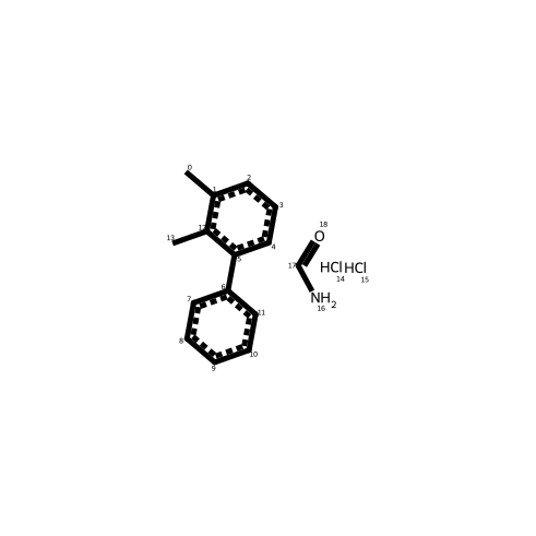 Cc1cccc(-c2ccccc2)c1C.Cl.Cl.NC=O